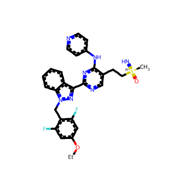 CCOc1cc(F)c(Cn2nc(-c3ncc(CC[S@](C)(=N)=O)c(Nc4ccncc4)n3)c3ccccc32)c(F)c1